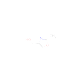 Cc1nc(CO)co1